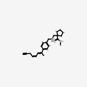 C#CC/C=C\C=C(/C)c1ccc(CNCC2(C(=O)OC)CCCC2)cc1